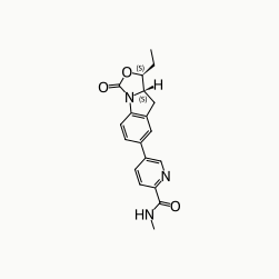 CC[C@@H]1OC(=O)N2c3ccc(-c4ccc(C(=O)NC)nc4)cc3C[C@@H]12